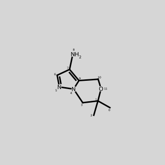 CC1(C)Cn2ncc(N)c2CO1